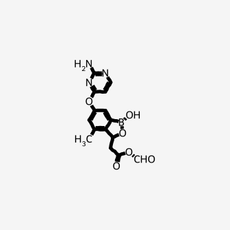 Cc1cc(Oc2ccnc(N)n2)cc2c1C(CC(=O)OC=O)OB2O